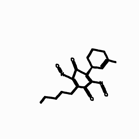 CCCCCC1=C(N=O)C(=O)C([C@@H]2C=C(C)CCC2)=C(N=O)C1=O